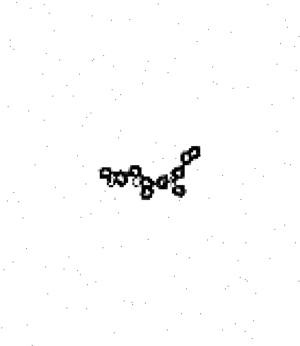 C1=CCC(N(c2ccc(-c3ccc4ccccc4c3)cc2)c2ccc(-c3cc4c5cccc(-c6ccc7oc8ccccc8c7c6)c5oc4c4ccccc34)cc2)C=C1